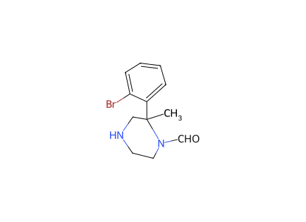 CC1(c2ccccc2Br)CNCCN1C=O